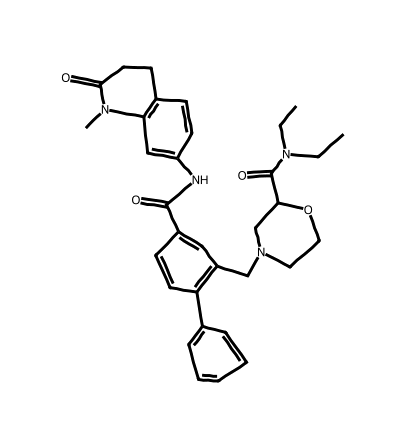 CCN(CC)C(=O)C1CN(Cc2cc(C(=O)Nc3ccc4c(c3)N(C)C(=O)CC4)ccc2-c2ccccc2)CCO1